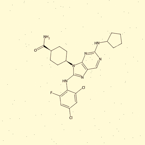 NC(=O)[C@H]1CC[C@@H](n2c(Nc3c(F)cc(Cl)cc3Cl)nc3cnc(NC4CCCC4)nc32)CC1